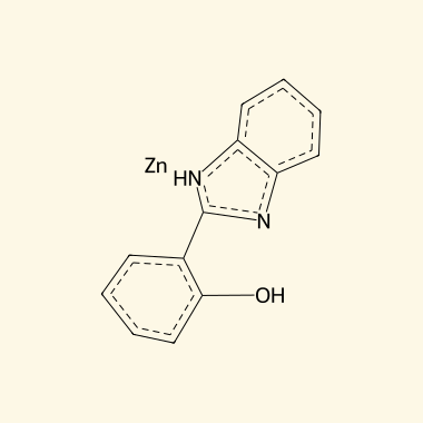 Oc1ccccc1-c1nc2ccccc2[nH]1.[Zn]